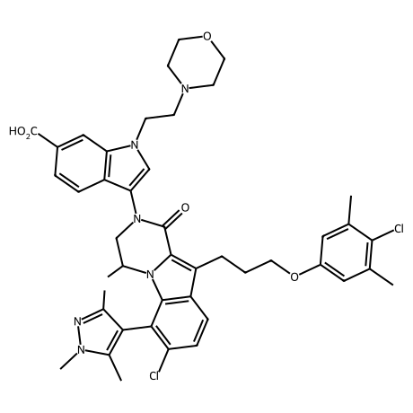 Cc1cc(OCCCc2c3n(c4c(-c5c(C)nn(C)c5C)c(Cl)ccc24)C(C)CN(c2cn(CCN4CCOCC4)c4cc(C(=O)O)ccc24)C3=O)cc(C)c1Cl